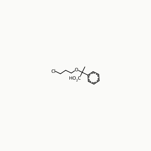 CC(OCCCCl)(C(=O)O)c1ccccc1